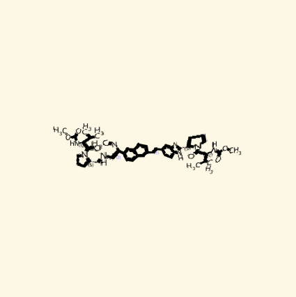 C=N/C(=C\NC[C@@H]1CCCN1C(=O)[C@@H](NC(=O)OC)C(C)C)c1ccc2cc(/C=C/c3ccc4[nH]c([C@@H]5CCCN5C(=O)[C@@H](NC(=O)OC)C(C)C)nc4c3)ccc2c1